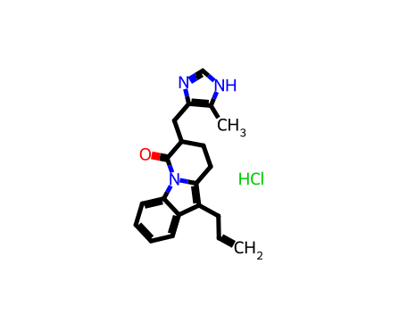 C=CCc1c2n(c3ccccc13)C(=O)C(Cc1nc[nH]c1C)CC2.Cl